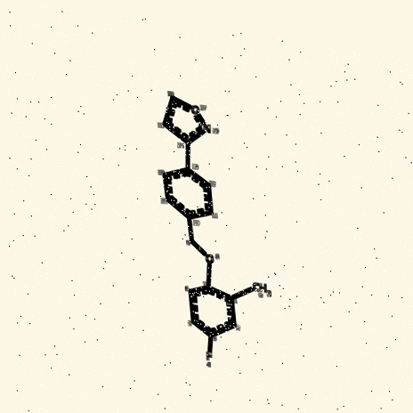 Cc1cc(F)ccc1OCc1ccc(-c2ccon2)cc1